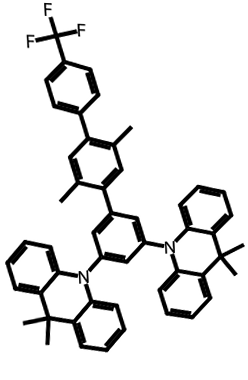 Cc1cc(-c2cc(N3c4ccccc4C(C)(C)c4ccccc43)cc(N3c4ccccc4C(C)(C)c4ccccc43)c2)c(C)cc1-c1ccc(C(F)(F)F)cc1